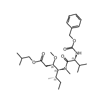 CC[C@H](C)[C@@H]([C@@H](CC(=O)OCC(C)C)OC)N(C)C(=O)[C@@H](NC(=O)OCc1ccccc1)C(C)C